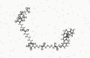 O=C(O)CC[C@H](NC(=O)N[C@@H](CCCCNC(=O)CCCCCCC(=O)NC(CCCCNC(=O)CCCCCNC(=O)COc1ccc(/C=C\c2ccc3n2[B-](F)(F)[N+]2=C(c4ccc[nH]4)C=CC2=C3)cc1)C(=O)O)C(=O)O)C(=O)O